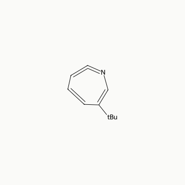 CC(C)(C)C1=CN=C=CC=C1